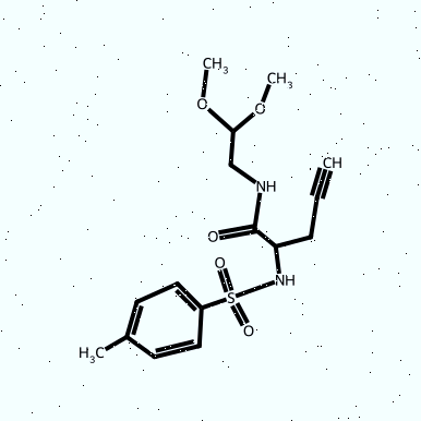 C#CCC(NS(=O)(=O)c1ccc(C)cc1)C(=O)NCC(OC)OC